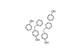 Oc1ccc(Cc2ccccc2)cc1.Oc1ccc(Cc2ccccc2)cc1.Oc1ccccc1.Oc1ccccc1